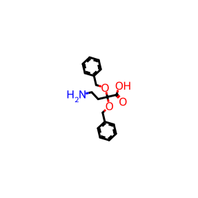 NCCC(OCc1ccccc1)(OCc1ccccc1)C(=O)O